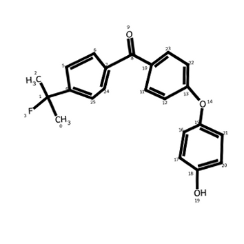 CC(C)(F)c1ccc(C(=O)c2ccc(Oc3ccc(O)cc3)cc2)cc1